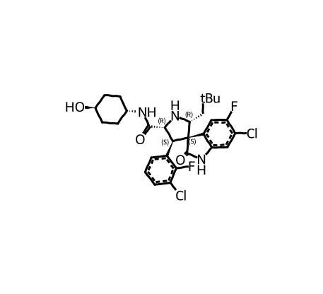 CC(C)(C)C[C@H]1N[C@@H](C(=O)N[C@H]2CC[C@H](O)CC2)[C@H](c2cccc(Cl)c2F)[C@@]12C(=O)Nc1cc(Cl)c(F)cc12